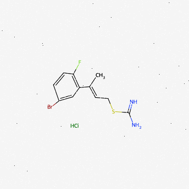 C/C(=C\CSC(=N)N)c1cc(Br)ccc1F.Cl